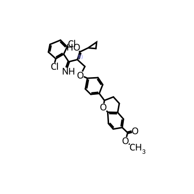 COC(=O)c1ccc2c(c1)CCC(c1ccc(OC/C(C(=N)c3c(Cl)cccc3Cl)=C(/O)C3CC3)cc1)O2